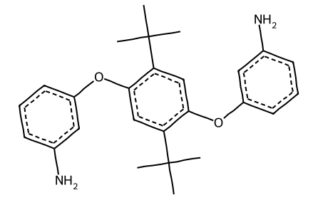 CC(C)(C)c1cc(Oc2cccc(N)c2)c(C(C)(C)C)cc1Oc1cccc(N)c1